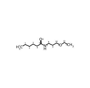 CCCCCC(=O)NCCCOCC